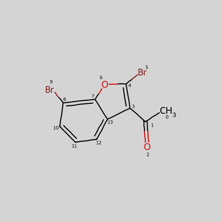 CC(=O)c1c(Br)oc2c(Br)cccc12